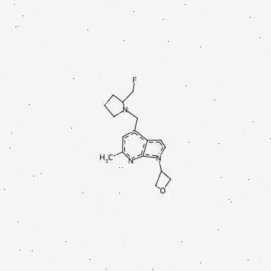 Cc1cc(CN2CCCC2CF)c2ccn(C3COC3)c2n1